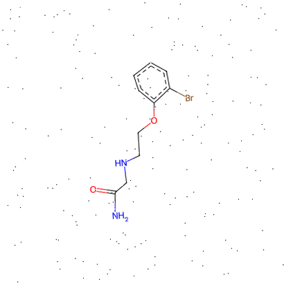 NC(=O)CNCCOc1ccccc1Br